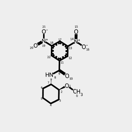 CO[C@H]1CCCC[C@@H]1NC(=O)c1cc([N+](=O)[O-])cc([N+](=O)[O-])c1